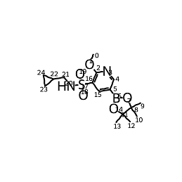 COc1ncc(B2OC(C)(C)C(C)(C)O2)cc1S(=O)(=O)NCC1CC1